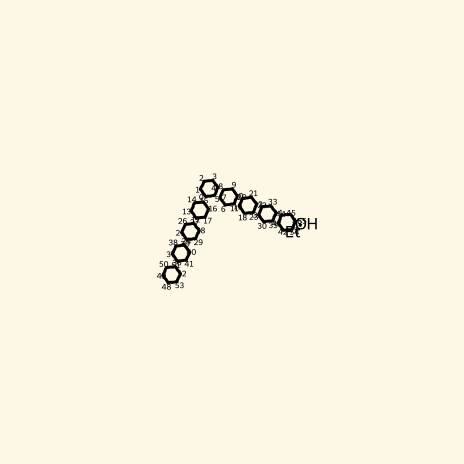 C1CCCCC1.C1CCCCC1.C1CCCCC1.C1CCCCC1.C1CCCCC1.C1CCCCC1.C1CCCCC1.C1CCCCC1.C1CCCCC1.CCO